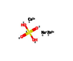 O=S(=O)(O)O.[Ca+2].[Na+].[Zn+2]